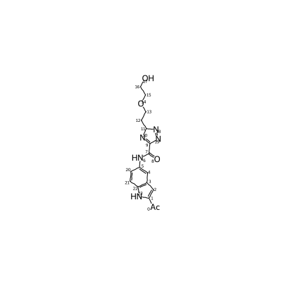 CC(=O)c1cc2cc(NC(=O)C3=NC(CCOCCO)N=N3)ccc2[nH]1